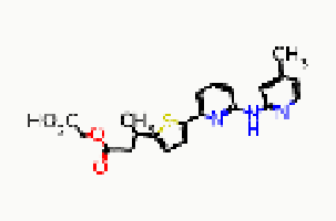 Cc1ccnc(Nc2cccc(-c3ccc(C(C)CC(=O)OCC(=O)O)s3)n2)c1